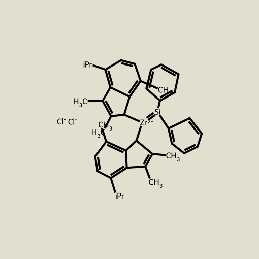 CC1=C(C)[CH]([Zr+2]([CH]2C(C)=C(C)c3c(C(C)C)ccc(C)c32)=[Si](c2ccccc2)c2ccccc2)c2c(C)ccc(C(C)C)c21.[Cl-].[Cl-]